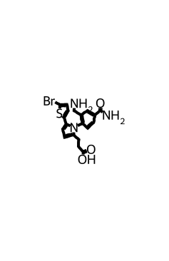 NCc1cc(C(N)=O)ccc1-n1c(CCC(=O)O)ccc1-c1ccc(Br)s1